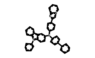 c1ccc(-c2ccc(N(c3ccc(-c4cn5ccccc5n4)cc3)c3ccc4c(c3)c3ccccc3n4-c3ccccc3)cc2)cc1